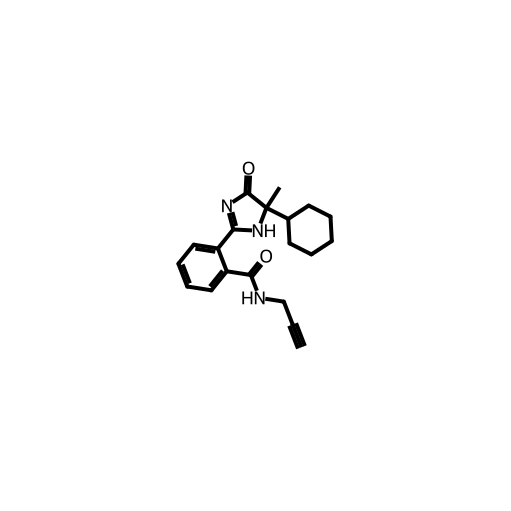 C#CCNC(=O)c1ccccc1C1=NC(=O)C(C)(C2CCCCC2)N1